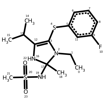 CCN1C(Sc2cccc(F)c2)=C(C(C)C)NC1(C)NS(C)(=O)=O